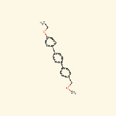 CCOc1ccc(-c2ccc(-c3ccc(COC)cc3)cc2)cc1